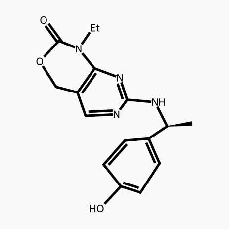 CCN1C(=O)OCc2cnc(N[C@@H](C)c3ccc(O)cc3)nc21